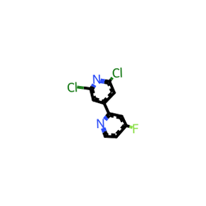 Fc1ccnc(-c2cc(Cl)nc(Cl)c2)c1